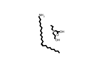 CCCCCCCC/C=C\CCCCCCCCCCCCN.CCCN(CCCO)CC(=O)O